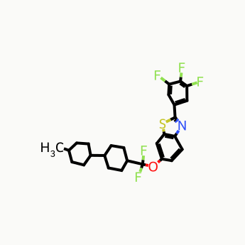 CC1CCC(C2CCC(C(F)(F)Oc3ccc4nc(-c5cc(F)c(F)c(F)c5)sc4c3)CC2)CC1